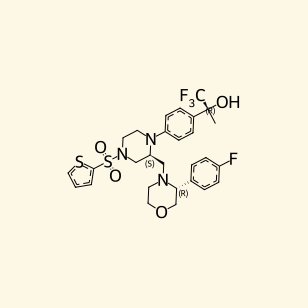 C[C@@](O)(c1ccc(N2CCN(S(=O)(=O)c3cccs3)C[C@@H]2CN2CCOC[C@H]2c2ccc(F)cc2)cc1)C(F)(F)F